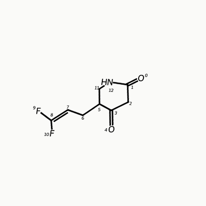 O=C1CC(=O)C(CC=C(F)F)CN1